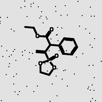 C=C(C(C(=O)OCC)c1ccccc1)P1(=O)OCCO1